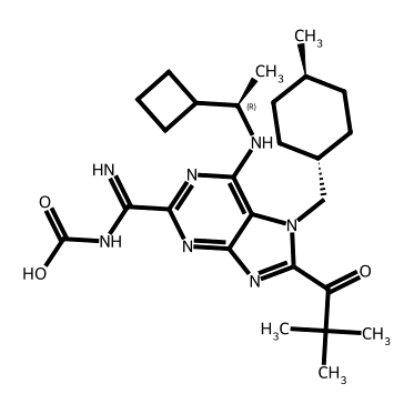 C[C@@H](Nc1nc(C(=N)NC(=O)O)nc2nc(C(=O)C(C)(C)C)n(C[C@H]3CC[C@H](C)CC3)c12)C1CCC1